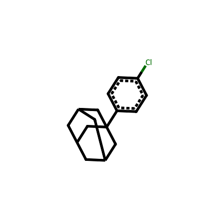 Clc1ccc(C23CC4CC(CC(C4)C2)C3)cc1